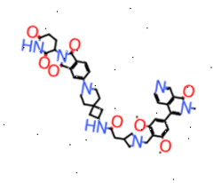 COc1cc(-c2cn(C)c(=O)c3cnccc23)cc(OC)c1CN1CC(CC(=O)NC2CC3(CCN(c4ccc5c(c4)C(=O)N(C4CCC(=O)NC4=O)C5=O)CC3)C2)C1